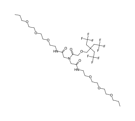 CCCOCCOCCOCCNC(=O)CN(CC(=O)NCCOCCOCCOCCC)C(=O)COCC(CC(F)(F)F)(CC(F)(F)F)CC(F)(F)F